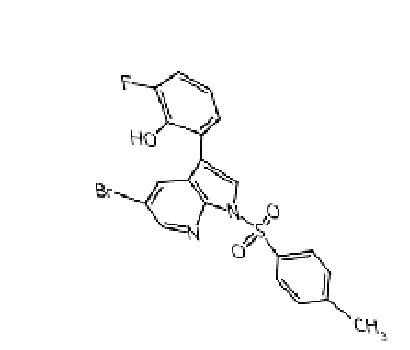 Cc1ccc(S(=O)(=O)n2cc(-c3cccc(F)c3O)c3cc(Br)cnc32)cc1